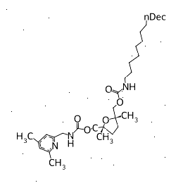 CCCCCCCCCCCCCCCCCCNC(=O)OC[C@]1(C)CC[C@](C)(COC(=O)NCc2cc(C)cc(C)n2)O1